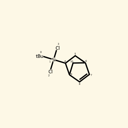 CC(C)(C)[Si](Cl)(Cl)C1CC2C=CC1C2